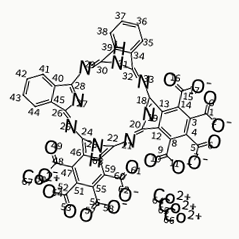 O=C([O-])c1c(C(=O)[O-])c(C(=O)[O-])c2c(c1C(=O)[O-])-c1nc-2nc2[nH]c(nc3nc(nc4[nH]c(n1)c1ccccc41)-c1ccccc1-3)c1c(C(=O)[O-])c(C(=O)[O-])c(C(=O)[O-])c(C(=O)[O-])c21.[Co+2].[Co+2].[Co+2].[Co+2]